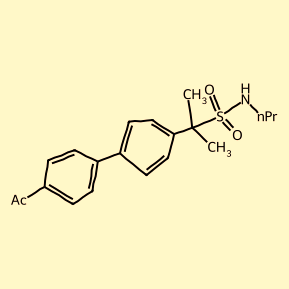 CCCNS(=O)(=O)C(C)(C)c1ccc(-c2ccc(C(C)=O)cc2)cc1